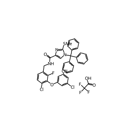 CSc1nc(C(=O)NCc2ccc(Cl)c(Oc3cc(Cl)cc(C#N)c3)c2F)cn1C(c1ccccc1)(c1ccccc1)c1ccccc1.O=C(O)C(F)(F)F